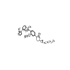 CCOC(=O)COC1CCC(c2ccc(NC(=O)c3cccc(-c4ccn[nH]4)n3)c(OC)c2)NC1